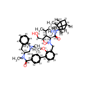 COc1c(CN2O[C@@H](CO)[C@@H](C(C)C)[C@H]2C(=O)N[C@H]2C[C@H]3C[C@@H]([C@@H]2C)C3(C)C)cccc1-c1ccc(C(=O)N(C)[C@@H](Cc2ccccc2)CN(C)C)cc1